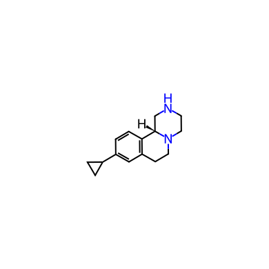 c1cc2c(cc1C1CC1)CCN1CCNC[C@@H]21